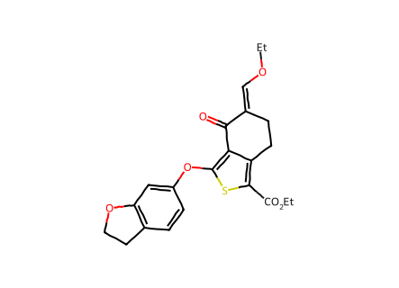 CCOC=C1CCc2c(C(=O)OCC)sc(Oc3ccc4c(c3)OCC4)c2C1=O